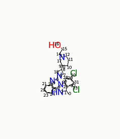 CC(Nc1nc(N2CC([C@H]3CCCN(CCO)C3)C2)nc2ccccc12)c1ccc(Cl)cc1Cl